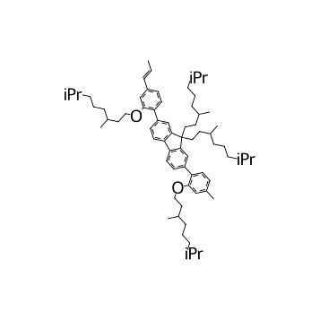 CC=Cc1ccc(-c2ccc3c(c2)C(CCC(C)CCCC(C)C)(CCC(C)CCCC(C)C)c2cc(-c4ccc(C)cc4OCCC(C)CCCC(C)C)ccc2-3)c(OCCC(C)CCCC(C)C)c1